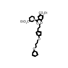 CCOC(=O)c1ccc(OCCCc2ccc(OCCCCOc3ccccc3)cc2)c(C(=O)N2CCCC(C(=O)OCC)C2)c1